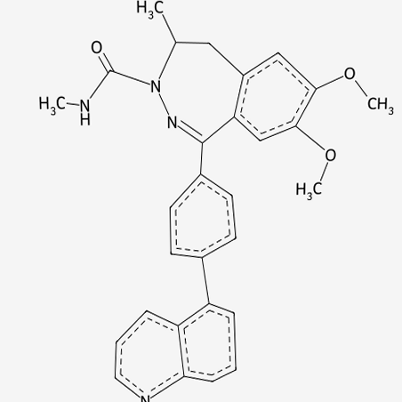 CNC(=O)N1N=C(c2ccc(-c3cccc4ncccc34)cc2)c2cc(OC)c(OC)cc2CC1C